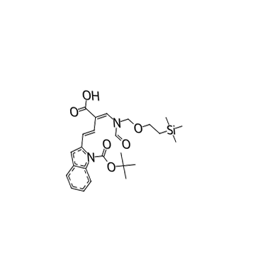 CC(C)(C)OC(=O)n1c(/C=C/C(=C\N(C=O)COCC[Si](C)(C)C)C(=O)O)cc2ccccc21